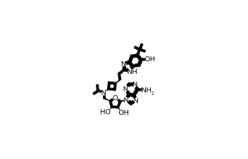 CC(C)N(C[C@H]1O[C@@H](n2cnc3c(N)ncnc32)[C@H](O)[C@@H]1O)[C@H]1C[C@H](CCc2nc3cc(C(C)(C)C)c(O)cc3[nH]2)C1